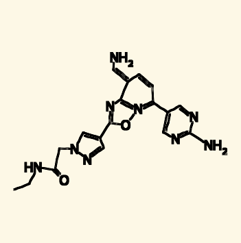 C=C(/C=C\C(=C/N)c1noc(-c2cnn(CC(=O)NCC)c2)n1)c1cnc(N)nc1